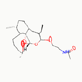 CC(=O)NCCOC1O[C@@H]2O[C@]3(C)CCC4[C@H](C)CCC([C@H]1C)[C@]42OO3